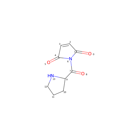 O=C1C=CC(=O)N1C(=O)C1CCCN1